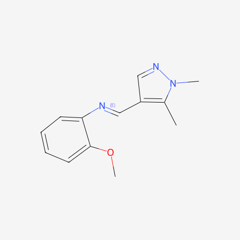 COc1ccccc1/N=C/c1cnn(C)c1C